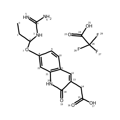 CCC(NC(=N)N)Oc1ccc2cc(CC(=O)O)c(=O)[nH]c2c1.O=C(O)C(F)(F)F